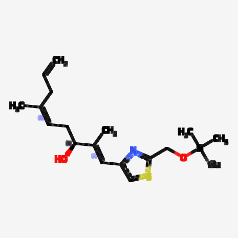 C=CC/C(C)=C\C[C@H](O)/C(C)=C/c1csc(CO[Si](C)(C)C(C)(C)C)n1